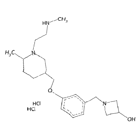 CNCCN1CC(COc2cccc(CN3CC(O)C3)c2)CCC1C.Cl.Cl